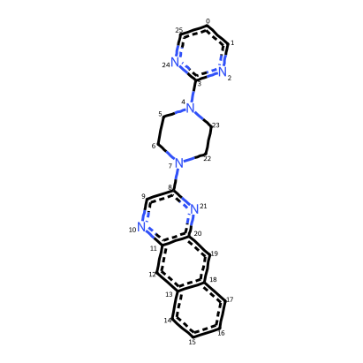 c1cnc(N2CCN(c3cnc4cc5ccccc5cc4n3)CC2)nc1